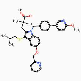 COc1ccc(-c2ccc(Cn3c(CC(C)(C)C(=O)[O-])c(SCC(C)C)c4cc(OCc5ccccn5)ccc43)cc2)cn1.[Li+]